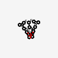 Fc1cc(F)cc(-c2cc(-n3c4cc(-n5c6ccccc6c6ccccc65)ccc4c4ccc(-n5c6ccccc6c6ccccc65)cc43)c(C(F)(F)F)c(-n3c4cc(-n5c6ccccc6c6ccccc65)ccc4c4ccc(-n5c6ccccc6c6ccccc65)cc43)c2)c1